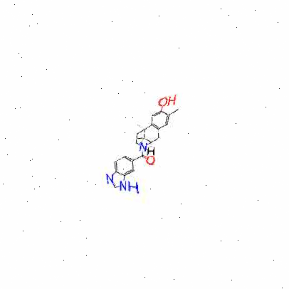 Cc1cc2c(cc1O)[C@]1(C)CCN(C(=O)c3ccc4nc[nH]c4c3)[C@H](C2)C1(C)C